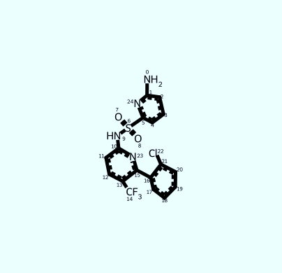 Nc1cccc(S(=O)(=O)Nc2ccc(C(F)(F)F)c(-c3ccccc3Cl)n2)n1